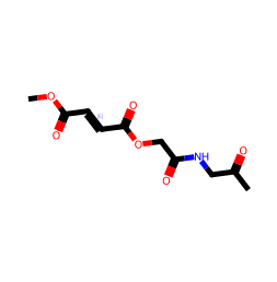 COC(=O)/C=C/C(=O)OCC(=O)NCC(C)=O